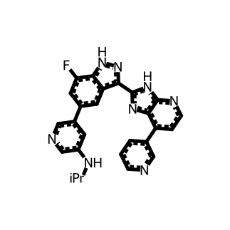 CC(C)Nc1cncc(-c2cc(F)c3[nH]nc(-c4nc5c(-c6cccnc6)ccnc5[nH]4)c3c2)c1